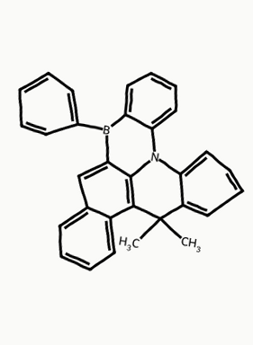 CC1(C)c2ccccc2N2c3ccccc3B(c3ccccc3)c3cc4ccccc4c1c32